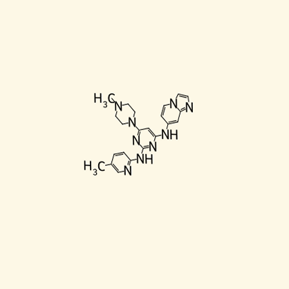 Cc1ccc(Nc2nc(Nc3ccn4ccnc4c3)cc(N3CCN(C)CC3)n2)nc1